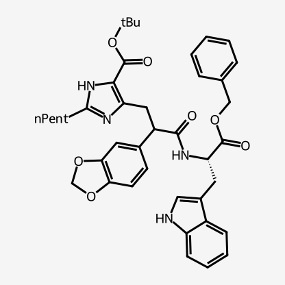 CCCCCc1nc(CC(C(=O)N[C@@H](Cc2c[nH]c3ccccc23)C(=O)OCc2ccccc2)c2ccc3c(c2)OCO3)c(C(=O)OC(C)(C)C)[nH]1